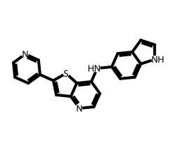 c1cncc(-c2cc3nccc(Nc4ccc5[nH]ccc5c4)c3s2)c1